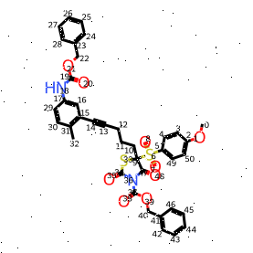 COc1ccc(S(=O)(=O)C2(CCCC#Cc3cc(NC(=O)OCc4ccccc4)ccc3C)SC(=O)N(C(=O)OCc3ccccc3)C2=O)cc1